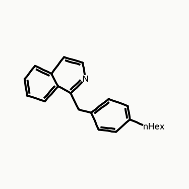 CCCCCCc1ccc(Cc2nccc3ccccc23)cc1